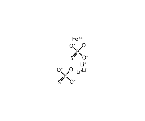 [Fe+3].[Li+].[Li+].[Li+].[O-]P([O-])([O-])=S.[O-]P([O-])([O-])=S